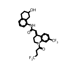 O=C(C=C1CCN(C(=O)CCC(F)(F)F)c2cc(C(F)(F)F)ccc21)Nc1cccc2c1CC(O)CC2